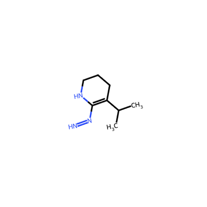 CC(C)C1=C(N=N)NCCC1